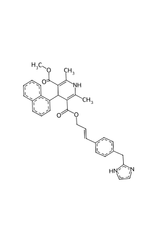 COC(=O)C1=C(C)NC(C)=C(C(=O)OCC=Cc2ccc(Cc3ncc[nH]3)cc2)C1c1cccc2ccccc12